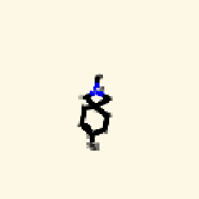 CCC1=CCC2(CC1)CN(C)C2